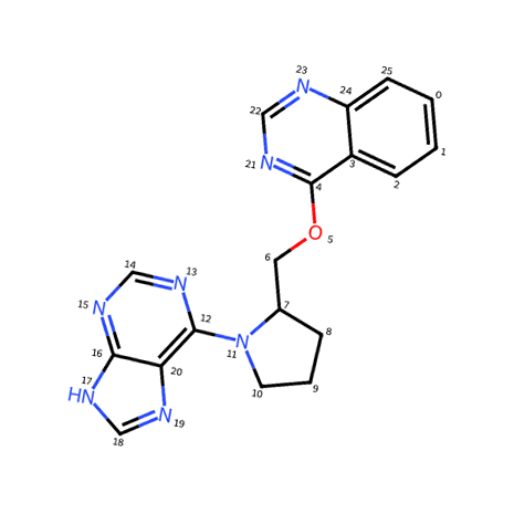 c1ccc2c(OCC3CCCN3c3ncnc4[nH]cnc34)ncnc2c1